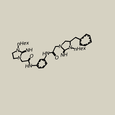 CCCCCCN1CCN(CC(=O)Nc2cccc(NC(=O)CN3CC(Cc4ccccc4)N(CCCCCC)C3=N)c2)C1=N